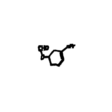 CCCC1=CCCC(OC=O)C1